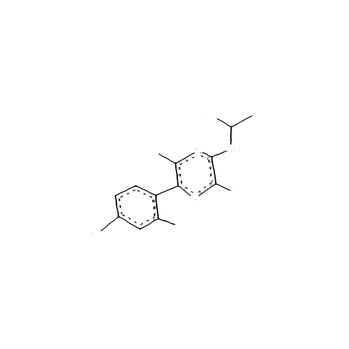 CCc1nc(-c2ccc(O)cc2Cl)c(CC)nc1NC(CC)CC